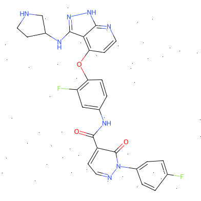 O=C(Nc1ccc(Oc2ccnc3[nH]nc(NC4CCNC4)c23)c(F)c1)c1ccnn(-c2ccc(F)cc2)c1=O